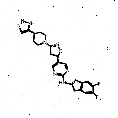 Fc1cc2c(cc1F)CC(Nc1ncc(C3CC(N4CCC(c5cnn[nH]5)CC4)=NO3)cn1)C2